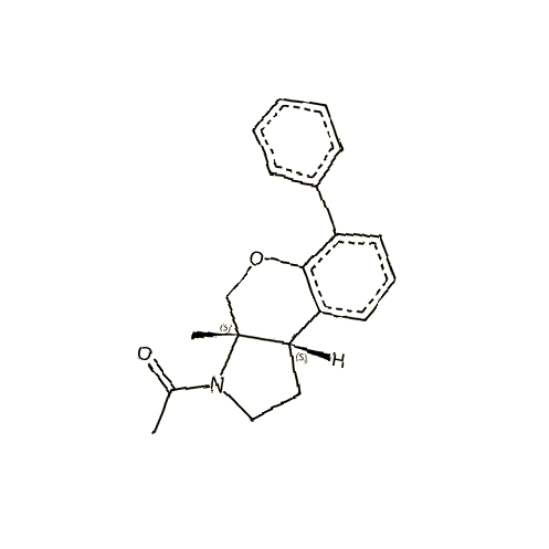 CC(=O)N1CC[C@H]2c3cccc(-c4ccccc4)c3OC[C@]21C